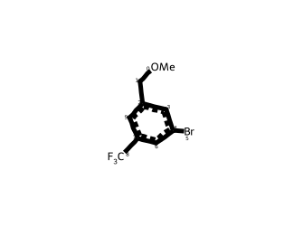 COCc1cc(Br)cc(C(F)(F)F)c1